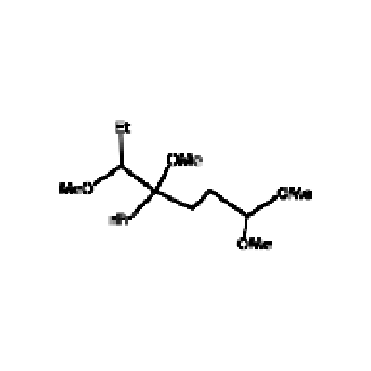 CCCC(CCC(OC)OC)(OC)C(CC)OC